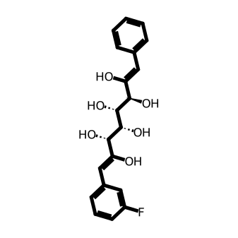 OC(=Cc1ccccc1)[C@@H](O)[C@@H](O)[C@H](O)[C@@H](O)C(O)=Cc1cccc(F)c1